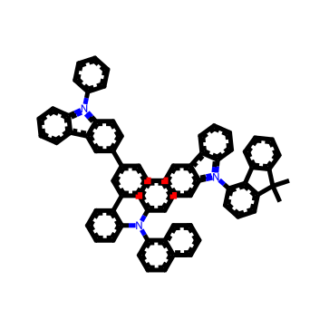 CC1(C)c2ccccc2-c2c(-n3c4ccccc4c4cc(-c5cc(-c6ccc7c(c6)c6ccccc6n7-c6ccccc6)cc(-c6ccccc6N(c6ccccc6)c6cccc7ccccc67)c5)ccc43)cccc21